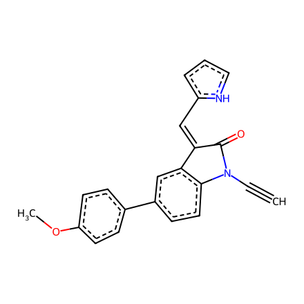 C#CN1C(=O)C(=Cc2ccc[nH]2)c2cc(-c3ccc(OC)cc3)ccc21